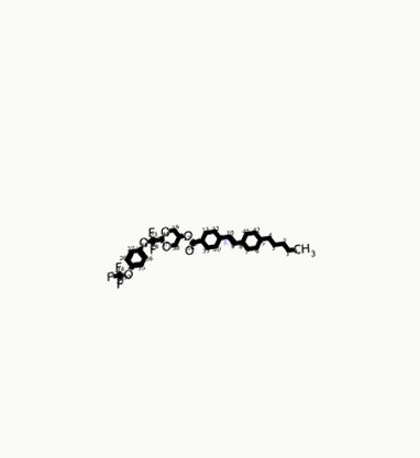 CCCCCC1CCC(/C=C/C2CCC(C(=O)OC3COC(C(F)(F)Oc4ccc(OC(F)(F)F)cc4)OC3)CC2)CC1